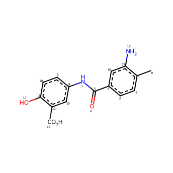 Cc1ccc(C(=O)Nc2ccc(O)c(C(=O)O)c2)cc1N